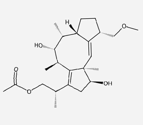 COC[C@H]1CC[C@@H]2/C1=C\[C@]1(C)C(=C([C@H](C)COC(C)=O)C[C@@H]1O)[C@@H](C)[C@H](O)[C@@H]2C